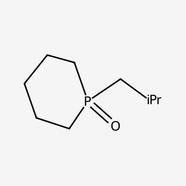 CC(C)CP1(=O)CCCCC1